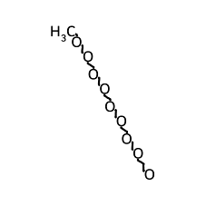 CCOCCOCCOCCOCCOCCOCCOCCOCCC=O